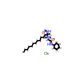 CCCCCCCCCCCC(=O)C(C)(NC)[N+](C)(C)CC(=O)Nc1ccccc1.[Cl-]